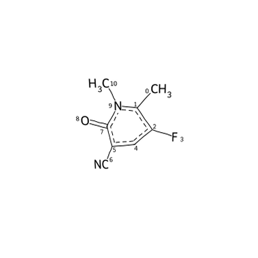 Cc1c(F)cc(C#N)c(=O)n1C